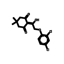 CC1(C)CC(=O)C(=C(O)COc2ccc(Cl)cc2Cl)C(=O)C1